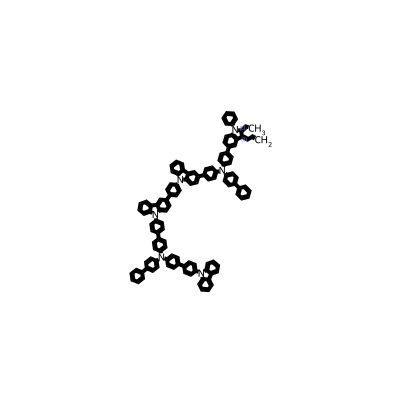 C=C/C=c1\c(=C/C)n(-c2ccccc2)c2ccc(-c3ccc(N(c4ccc(-c5ccccc5)cc4)c4ccc(-c5ccc6c(c5)c5ccccc5n6-c5ccc(-c6ccc7c(c6)c6ccccc6n7-c6ccc(-c7ccc(N(c8ccc(-c9ccccc9)cc8)c8ccc(-c9ccc(-n%10c%11ccccc%11c%11ccccc%11%10)cc9)cc8)cc7)cc6)cc5)cc4)cc3)cc12